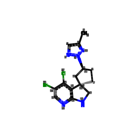 Cc1cnn([C@H]2CC[C@@]3(CNc4ncc(Br)c(Cl)c43)C2)n1